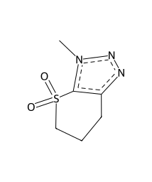 Cn1nnc2c1S(=O)(=O)CCC2